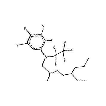 CCCC(CC)CCC(C)CN(c1cc(F)c(F)c(F)c1F)C(F)(F)C(F)(F)F